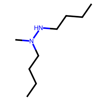 CCCCNN(C)CCCC